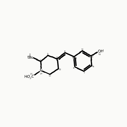 CC(C)(C)C1CC(=Cc2cccc(O)c2)CCN1C(=O)O